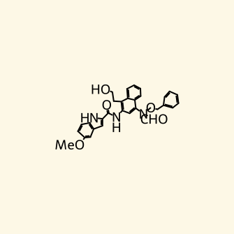 COc1ccc2[nH]c(C(=O)Nc3cc(N(C=O)OCc4ccccc4)c4ccccc4c3CCO)cc2c1